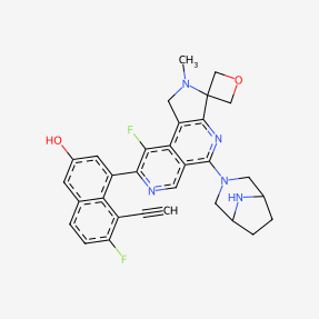 C#Cc1c(F)ccc2cc(O)cc(-c3ncc4c(N5CC6CCC(C5)N6)nc5c(c4c3F)CN(C)C53COC3)c12